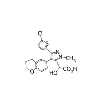 Cn1nc(-c2ccc(Cl)s2)c(-c2ccc3c(c2)CCCO3)c1C(O)C(=O)O